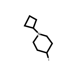 IC1CCN(C2CCC2)CC1